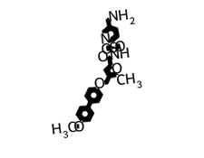 COc1ccc(-c2ccc(OCc3cc(C(=O)NS(=O)(=O)c4ccc(CN)cn4)oc3C)cc2)cc1